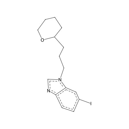 Ic1ccc2ncn(CCCC3CCCCO3)c2c1